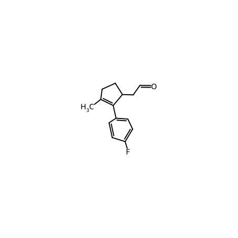 CC1=C(c2ccc(F)cc2)C(CC=O)CC1